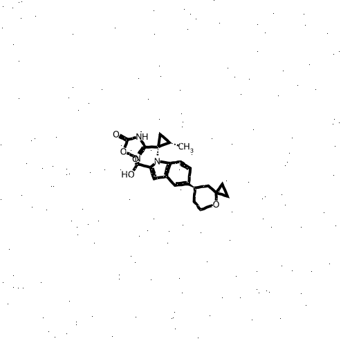 C[C@H]1C[C@@]1(c1noc(=O)[nH]1)n1c(C(=O)O)cc2cc([C@@H]3CCOC4(CC4)C3)ccc21